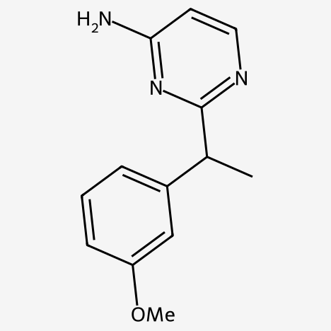 COc1cccc(C(C)c2nccc(N)n2)c1